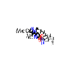 COc1cnc2c(c1)c(C#N)c(-c1ncc(S(=O)(=O)N[C@@H](C)C(F)(F)F)cc1C)n2C1=CC=C1